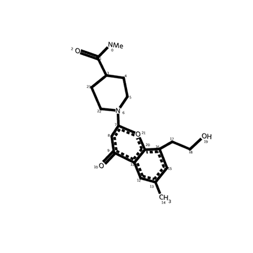 CNC(=O)C1CCN(c2cc(=O)c3cc(C)cc(CCO)c3o2)CC1